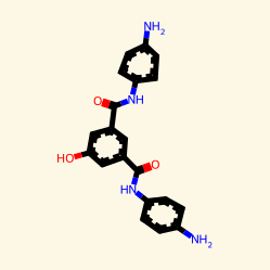 Nc1ccc(NC(=O)c2cc(O)cc(C(=O)Nc3ccc(N)cc3)c2)cc1